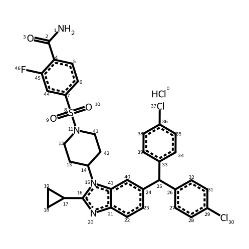 Cl.NC(=O)c1ccc(S(=O)(=O)N2CCC(n3c(C4CC4)nc4ccc(C(c5ccc(Cl)cc5)c5ccc(Cl)cc5)cc43)CC2)cc1F